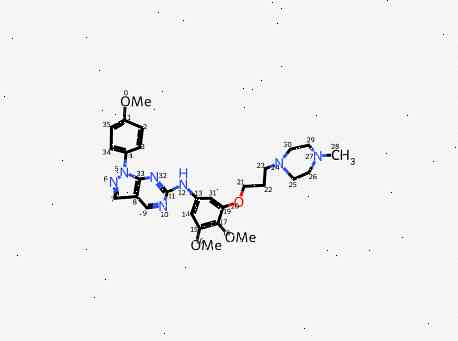 COc1ccc(-n2ncc3cnc(Nc4cc(OC)c(OC)c(OCCCN5CCN(C)CC5)c4)nc32)cc1